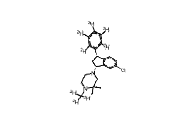 [2H]c1c([2H])c([2H])c([C@@H]2C[C@@H](N3CCN(C([2H])([2H])[2H])C(C)(C)C3)c3cc(Cl)ccc32)c([2H])c1[2H]